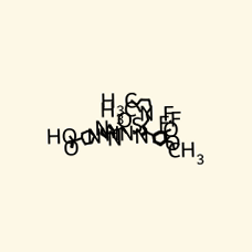 COc1ccc(-c2nc(NC(=O)c3cnc(N4CCC(C(=O)O)CC4)cn3)sc2CN2CCCC(C)(C)C2)cc1OC(F)(F)F